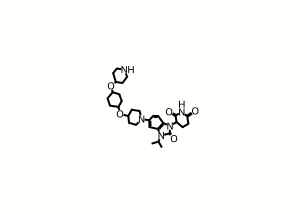 CC(C)n1c(=O)n(C2CCC(=O)NC2=O)c2ccc(N3CCC(OC4CCC(OC5CCNCC5)CC4)CC3)cc21